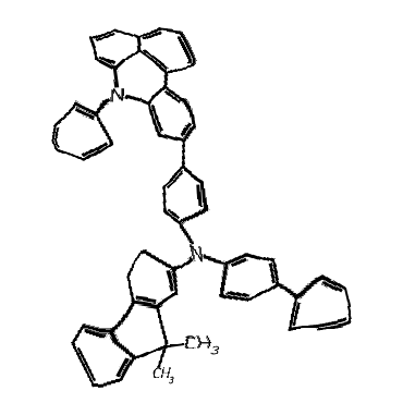 CC1(C)C2=C(CCC(N(c3ccc(-c4ccccc4)cc3)c3ccc(-c4ccc5c(c4)N(c4ccccc4)c4cccc6cccc-5c46)cc3)=C2)c2ccccc21